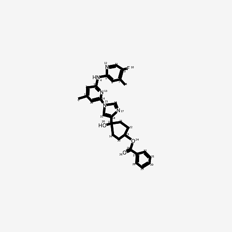 Cc1cc(Nc2cc(C)c(F)cn2)nc(-n2cnc(C3(O)CCC(OC(=O)c4ccccc4)CC3)c2)c1